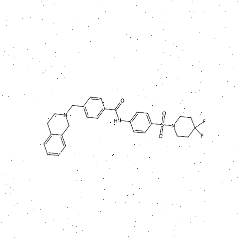 O=C(Nc1ccc(S(=O)(=O)N2CCC(F)(F)CC2)cc1)c1ccc(CN2CCc3ccccc3C2)cc1